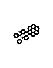 c1ccc(N(c2ccccc2)c2c3ccccc3nc3ccc(-c4cc5ccc6ccc7ccc8ccc9ccc4c4c9c8c7c6c54)cc23)cc1